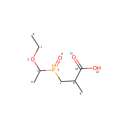 CCOC(C)[PH](=O)CC(C)C(=O)O